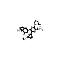 Cn1ccc(-c2nc(N)c(N3CCCC3=O)nc2-c2cc(Cl)c3[nH]ncc3c2)n1